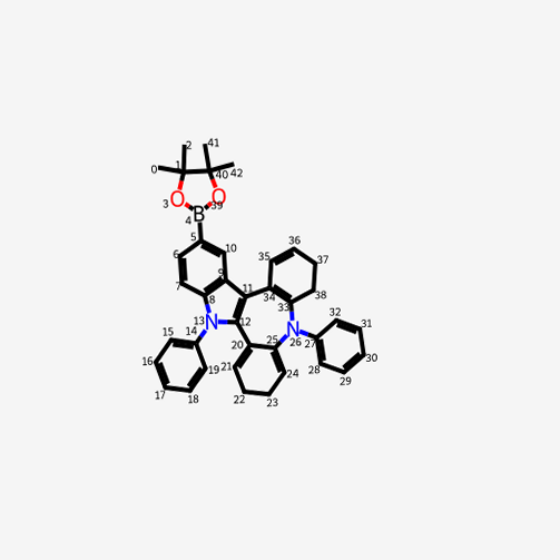 CC1(C)OB(c2ccc3c(c2)c2c(n3-c3ccccc3)C3=CCCC=C3N(c3ccccc3)C3=C2C=CCC3)OC1(C)C